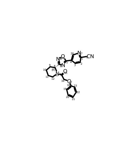 N#Cc1ccc(-c2nc([C@H]3CCCCN3C(=O)COc3ccccc3)no2)cn1